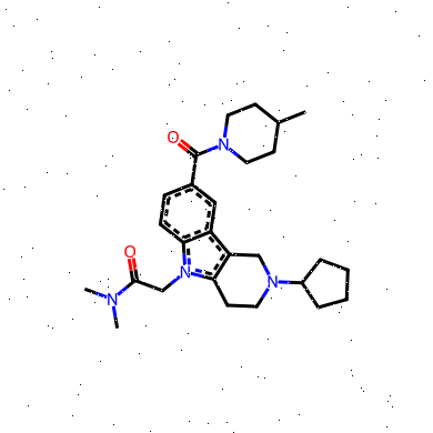 CC1CCN(C(=O)c2ccc3c(c2)c2c(n3CC(=O)N(C)C)CCN(C3CCCC3)C2)CC1